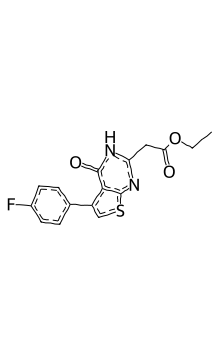 CCOC(=O)Cc1nc2scc(-c3ccc(F)cc3)c2c(=O)[nH]1